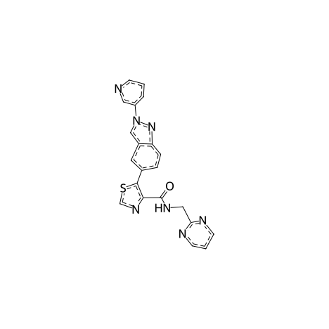 O=C(NCc1ncccn1)c1ncsc1-c1ccc2nn(-c3cccnc3)cc2c1